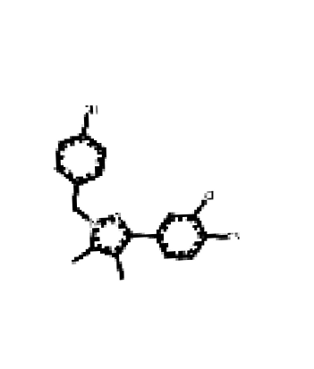 Cc1c(-c2ccc(C#N)c(Cl)c2)nn(Cc2ccc(S)cc2)c1C